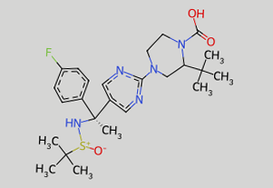 CC(C)(C)C1CN(c2ncc([C@@](C)(N[S+]([O-])C(C)(C)C)c3ccc(F)cc3)cn2)CCN1C(=O)O